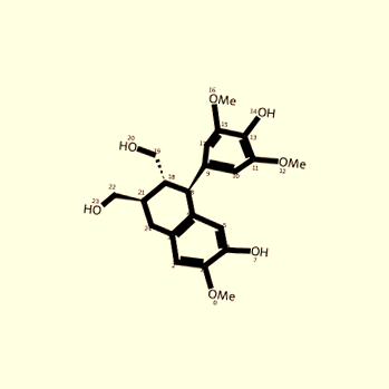 COc1cc2c(cc1O)[C@H](c1cc(OC)c(O)c(OC)c1)[C@@H](CO)[C@H](CO)C2